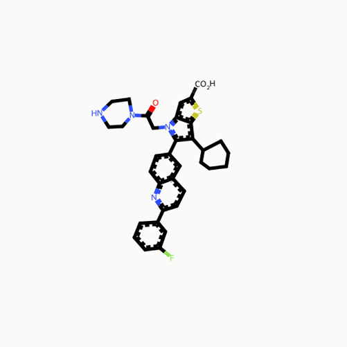 O=C(O)c1cc2c(s1)c(C1CCCCC1)c(-c1ccc3nc(-c4cccc(F)c4)ccc3c1)n2CC(=O)N1CCNCC1